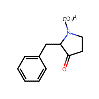 O=C1CCN(C(=O)O)C1Cc1ccccc1